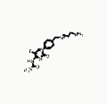 NCCCNCc1ccc(-n2cc(F)c(NC(N)=O)nc2=O)cc1